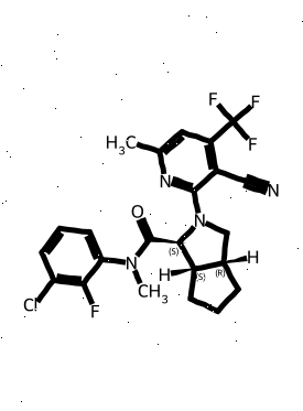 Cc1cc(C(F)(F)F)c(C#N)c(N2C[C@@H]3CCC[C@@H]3[C@H]2C(=O)N(C)c2cccc(Cl)c2F)n1